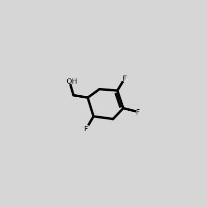 OCC1CC(F)=C(F)CC1F